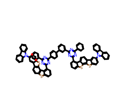 c1ccc(-c2nc(-c3cccc(-c4ccc(-c5nc(-c6ccccc6)nc(-c6cccc7sc8ccc9c%10cc(-n%11c%12ccccc%12c%12ccccc%12%11)ccc%10sc9c8c67)n5)cc4)c3)nc(-c3cccc4sc5c(ccc6c7cc(-n8c9ccccc9c9ccccc98)ccc7sc65)c34)n2)cc1